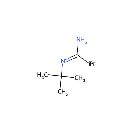 CC(C)/C(N)=N\C(C)(C)C